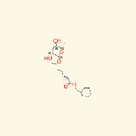 CC(CC/C=C/C(=O)OCC1CCCCC1)O[C@@H]1O[C@@H](C)[C@H](O)C[C@H]1O